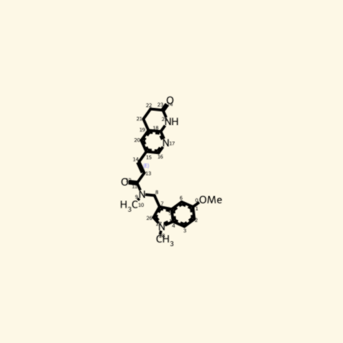 COc1ccc2c(c1)c(CN(C)C(=O)/C=C/c1cnc3c(c1)CCC(=O)N3)cn2C